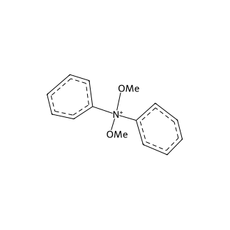 CO[N+](OC)(c1ccccc1)c1ccccc1